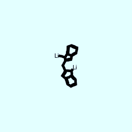 [Li][CH]1C(CC2=Cc3ccccc3[CH]2[Li])=Cc2ccccc21